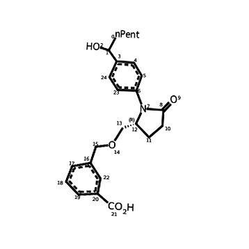 CCCCCC(O)c1ccc(N2C(=O)CC[C@@H]2COCc2cccc(C(=O)O)c2)cc1